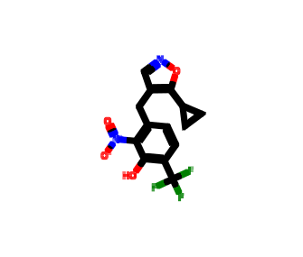 O=[N+]([O-])c1c(Cc2cnoc2C2CC2)ccc(C(F)(F)F)c1O